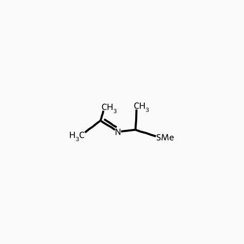 CSC(C)N=C(C)C